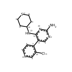 Nc1ncc(-c2ccncc2Cl)c(NC2CCSCC2)n1